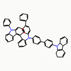 C1=CC2C3=C(CCC=C3)N(c3ccc(-c4ccc(N(c5ccc(-c6ccccc6)cc5)c5ccccc5-c5cccc6c5c5ccccc5n6-c5ccccc5)cc4)cc3)C2C=C1